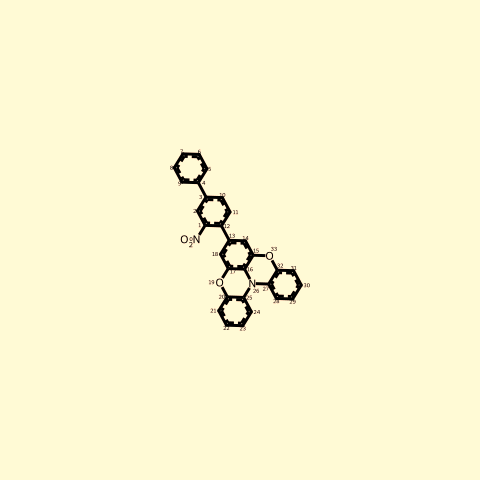 O=[N+]([O-])c1cc(-c2ccccc2)ccc1-c1cc2c3c(c1)Oc1ccccc1N3c1ccccc1O2